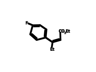 CCOC(=O)/C=C(/CC)c1ccc(F)cc1